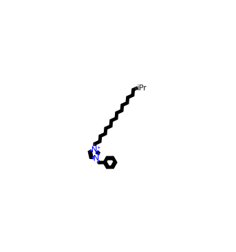 CC(C)CCCCCCCCCCCCCCC[n+]1ccn(Cc2ccccc2)c1